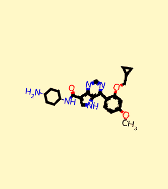 COc1ccc(-c2ncnc3c(C(=O)N[C@H]4CC[C@@H](N)CC4)c[nH]c23)c(OCC2CC2)c1